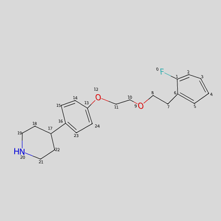 Fc1ccccc1CCOCCOc1ccc(C2CCNCC2)cc1